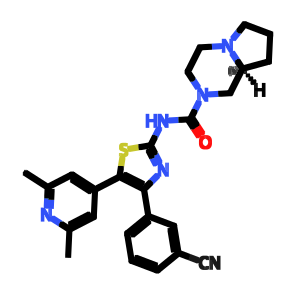 Cc1cc(-c2sc(NC(=O)N3CCN4CCC[C@H]4C3)nc2-c2cccc(C#N)c2)cc(C)n1